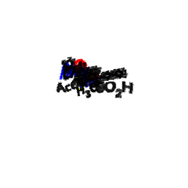 CC[C@H](C)[C@H](NC(=O)[C@H]1CCCCN1C)C(=O)N(Cc1ccccc1)[C@H](C[C@@H](OC(C)=O)c1nc(C(=O)N[C@@H](Cc2ccc(-c3ccccc3)cc2)C[C@H](C)C(=O)O)cs1)C(C)C